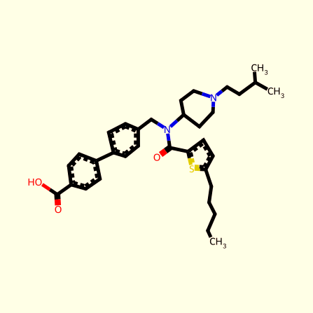 CCCCCc1ccc(C(=O)N(Cc2ccc(-c3ccc(C(=O)O)cc3)cc2)C2CCN(CCC(C)C)CC2)s1